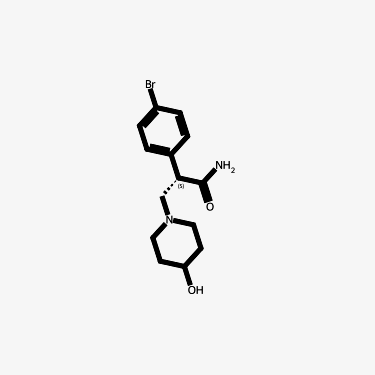 NC(=O)[C@H](CN1CCC(O)CC1)c1ccc(Br)cc1